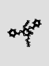 [N-]=[N+]=NC[C@H]1OC(OCc2ccccc2)C(N=[N+]=[N-])[C@@H](OCc2ccccc2)C1=O